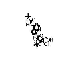 CC(C)(C)OC(=O)Nc1ncnn2c([C@@H]3O[C@]4(CO)C(O)[C@@]45OC(C)(C)O[C@@H]35)ccc12